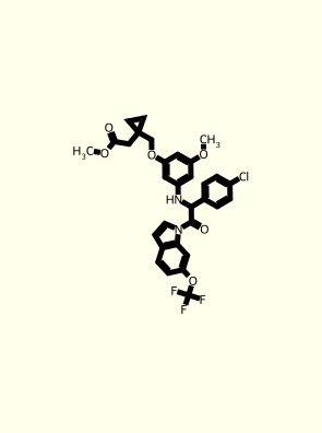 COC(=O)CC1(COc2cc(NC(C(=O)n3ccc4ccc(OC(F)(F)F)cc43)c3ccc(Cl)cc3)cc(OC)c2)CC1